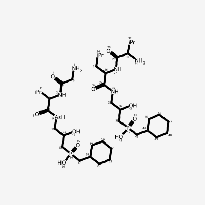 CC(C)C(NC(=O)CN)C(=O)[AsH]CC(O)CP(=O)(O)CC1CCCCC1.CC(C)CC(NC(=O)C(N)C(C)C)C(=O)NCC(O)CP(=O)(O)CC1CCCCC1